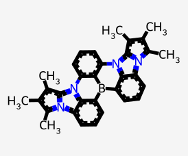 Cc1c(C)c2n3c4c(cccc4n2c1C)B1c2c-3cccc2-n2c3c1cccc3n1c(C)c(C)c(C)c21